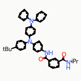 CC(C)NC(=O)c1cccc(C(=O)Nc2ccc(N(c3ccc(N(c4ccccc4)c4ccccc4)cc3)c3ccc(C(C)(C)C)cc3)cc2)c1